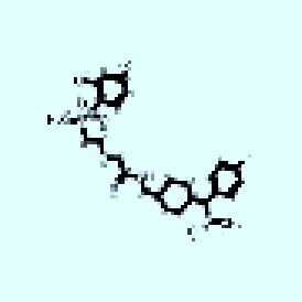 CN(C)C(c1ccc(F)cc1)C1CCC(CNC(=O)COCCN(C)S(=O)(=O)c2ccc(Cl)cc2Cl)CC1